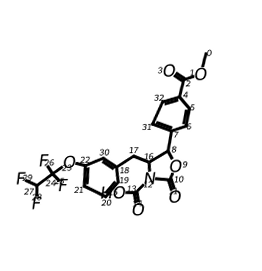 COC(=O)c1ccc(C2OC(=O)N(C(=O)O)C2Cc2cccc(OC(F)(F)C(F)F)c2)cc1